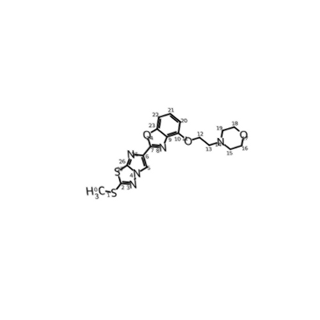 CSc1nn2cc(-c3nc4c(OCCN5CCOCC5)cccc4o3)nc2s1